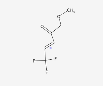 COCC(=O)/C=C/C(F)(F)F